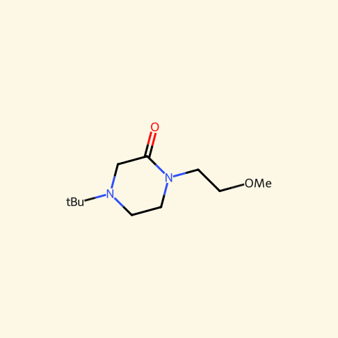 COCCN1CCN(C(C)(C)C)CC1=O